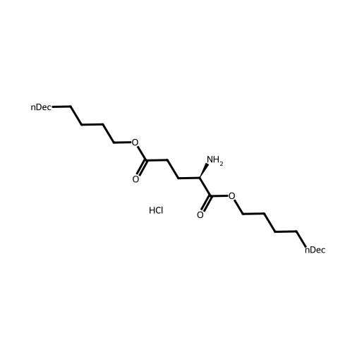 CCCCCCCCCCCCCCOC(=O)CC[C@@H](N)C(=O)OCCCCCCCCCCCCCC.Cl